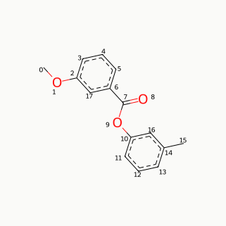 COc1cccc(C(=O)Oc2cccc(C)c2)c1